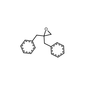 c1ccc(CC2(Cc3ccccc3)CO2)cc1